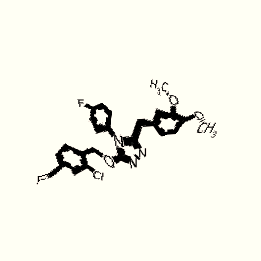 COc1ccc(Cc2nnc(OCc3ccc(F)cc3Cl)n2-c2ccc(F)cc2)cc1OC